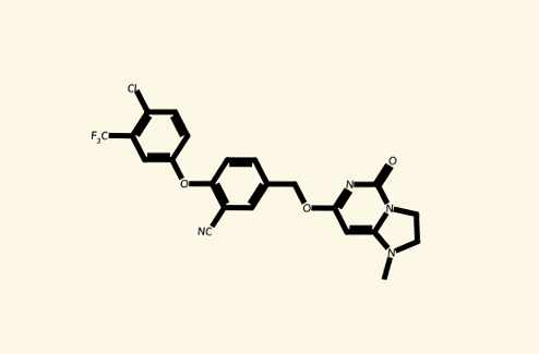 CN1CCn2c1cc(OCc1ccc(Oc3ccc(Cl)c(C(F)(F)F)c3)c(C#N)c1)nc2=O